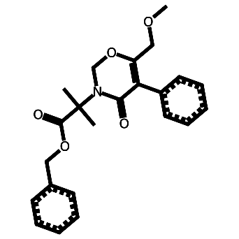 COCC1=C(c2ccccc2)C(=O)N(C(C)(C)C(=O)OCc2ccccc2)CO1